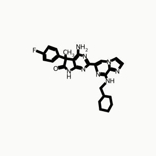 CC1(c2ccc(F)cc2)C(=O)Nc2nc(-c3cn4ccnc4c(NCC4CCCCC4)n3)nc(N)c21